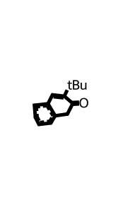 CC(C)(C)C1=Cc2ccccc2CC1=O